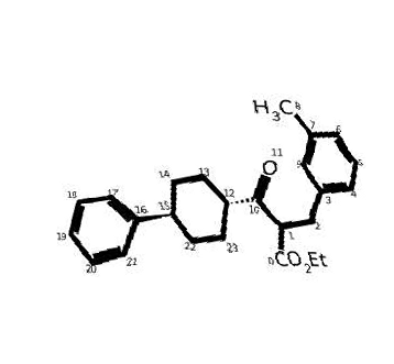 CCOC(=O)C(Cc1cccc(C)c1)C(=O)[C@H]1CC[C@H](c2ccccc2)CC1